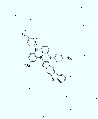 CC(C)(C)c1ccc(N2c3ccc(C(C)(C)C)cc3B3c4sc5cc6sc7ccccc7c6cc5c4N(c4ccc(C(C)(C)C)cc4)c4cccc2c43)cc1